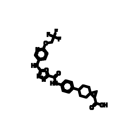 O=C(Nc1ccc(C2CCC3(CC2)CC3C(=O)O)cc1)c1nnc(Nc2ccc(OCC(F)(F)F)nc2)o1